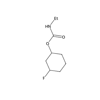 CCNC(=O)OC1CCCC(F)C1